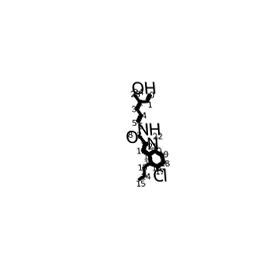 C=C/C(=C\C=CNC(=O)c1cc2c(CCC)c(Cl)ccc2n1C)CO